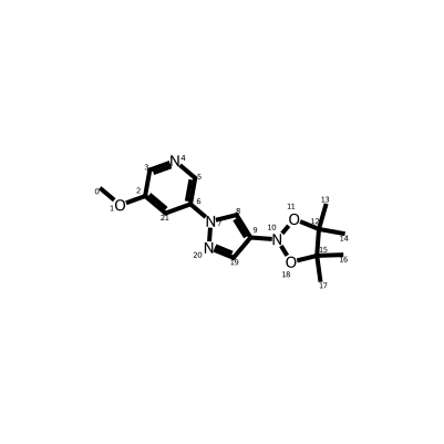 COc1cncc(-n2cc(N3OC(C)(C)C(C)(C)O3)cn2)c1